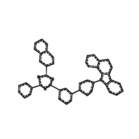 c1ccc(-c2nc(-c3cccc(-c4ccc(-n5c6ccccc6c6ccc7ccccc7c65)cc4)c3)nc(-c3ccc4ccccc4c3)n2)cc1